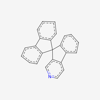 c1ccc2c(c1)-c1ccccc1C21c2ccccc2-c2ccncc21